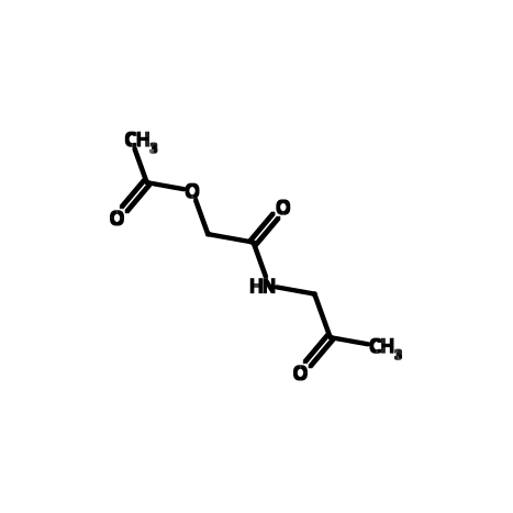 CC(=O)CNC(=O)COC(C)=O